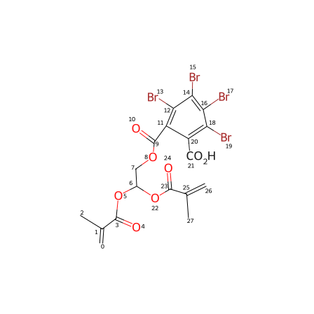 C=C(C)C(=O)OC(COC(=O)c1c(Br)c(Br)c(Br)c(Br)c1C(=O)O)OC(=O)C(=C)C